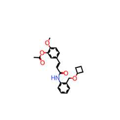 COc1ccc(C=CC(=O)Nc2ccccc2COC2CCC2)cc1OC(C)=O